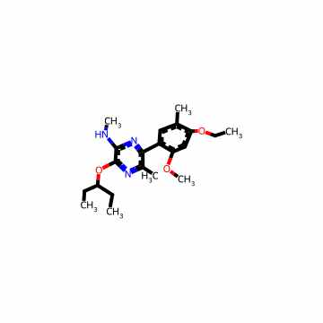 CCOc1cc(OC)c(-c2nc(NC)c(OC(CC)CC)nc2C)cc1C